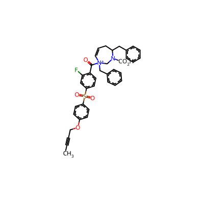 CC#CCOc1ccc(S(=O)(=O)c2ccc(C(=O)[N+]3(Cc4ccccc4)C=CCC(Cc4ccccc4)N(C(=O)O)C3)c(F)c2)cc1